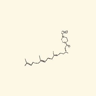 CC(C)=CCC/C(C)=C/CC/C(C)=C/CC/C(C)=C/C(=O)N1CCN(C=O)CC1